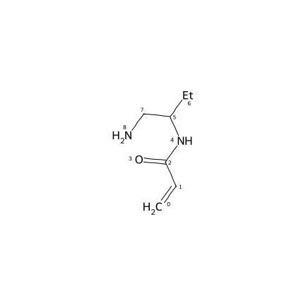 C=CC(=O)NC(CC)CN